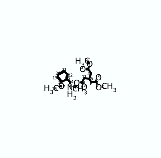 COC(=O)CC(CC(=O)OC)CC(=O)OC.COc1ccccc1CN